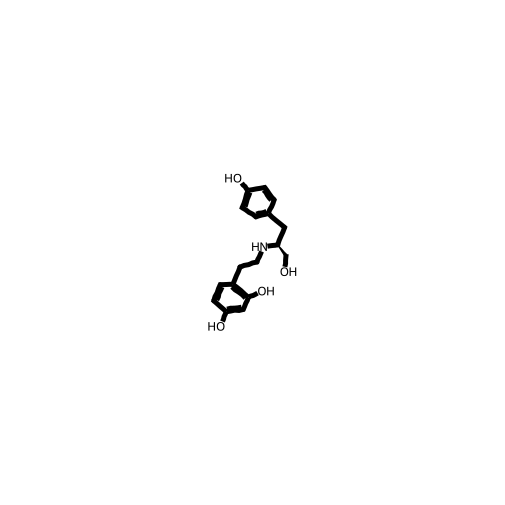 OC[C@H](Cc1ccc(O)cc1)NCCc1ccc(O)cc1O